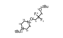 CC(C)(C)OCC(F)(F)CON1CCN(C(C)(C)C)CC1